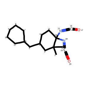 CC1(C)CC(CC2CCCCC2)CCC1(N=C=O)N=C=O